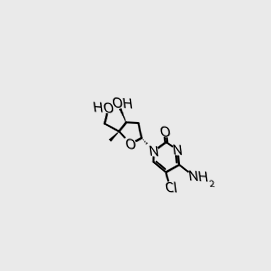 C[C@]1(CO)O[C@@H](n2cc(Cl)c(N)nc2=O)C[C@@H]1O